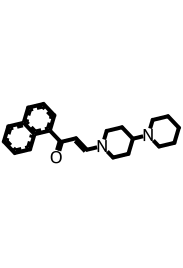 O=C(C=CN1CCC(N2CCCCC2)CC1)c1cccc2ccccc12